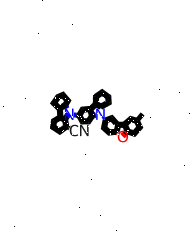 Cc1ccc2oc3ccc(-n4c5ccccc5c5cc(-n6c7ccccc7c7cccc(C#N)c76)ccc54)cc3c2c1